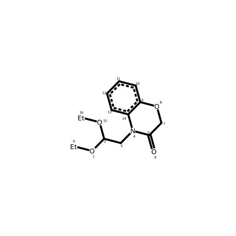 CCOC(CN1C(=O)COc2ccccc21)OCC